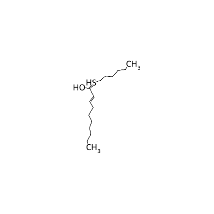 CCCCCCC/C=C/C(O)=[SH]\CCCCCC